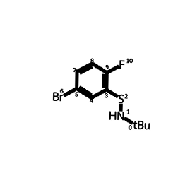 CC(C)(C)NSc1cc(Br)ccc1F